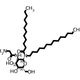 CCCCCCCCCCCCCCN(C(=O)CCCCCCCCCCC)[C@@H]1O[C@H](CO)[C@H](O)[C@H](O)[C@H]1NC(=O)CN